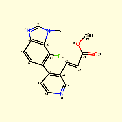 Cn1cnc2ccc(-c3ccncc3C=CC(=O)OC(C)(C)C)c(F)c21